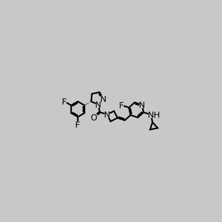 O=C(N1CC(=Cc2cc(NC3CC3)ncc2F)C1)N1N=CC[C@H]1c1cc(F)cc(F)c1